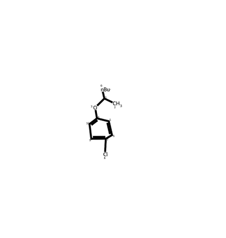 CCC[CH]C(C)Oc1ccc(Cl)cc1